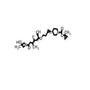 C#C/C(=C\C(F)=C(/C)CC(=O)N1CC(C)(O)C1)OCCC1C[C@@H]1C1CCN(C(=O)OC2(C)CC2)CC1